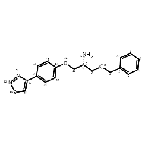 N[C@H](COCc1ccccc1)COc1ccc(-c2csnn2)cc1